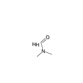 CN(C)C=O.[HH]